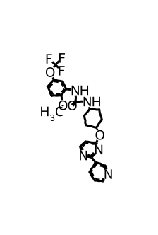 COc1ccc(OC(F)(F)F)cc1NC(=O)N[C@H]1CC[C@H](Oc2ccnc(-c3cccnc3)n2)CC1